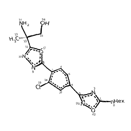 CCCCCCc1nc(-c2ccc(-c3nnc([C@@](C)(N)CO)s3)c(Cl)c2)no1